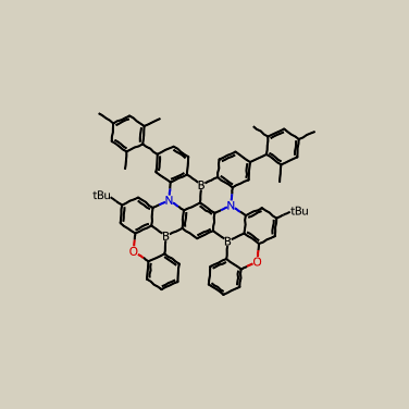 Cc1cc(C)c(-c2ccc3c(c2)N2c4cc(C(C)(C)C)cc5c4B(c4ccccc4O5)c4cc5c6c(c42)B3c2ccc(-c3c(C)cc(C)cc3C)cc2N6c2cc(C(C)(C)C)cc3c2B5c2ccccc2O3)c(C)c1